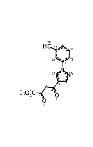 CCOC(=O)C(=O)CC(=O)c1cnn(-c2cccc(O)c2)c1